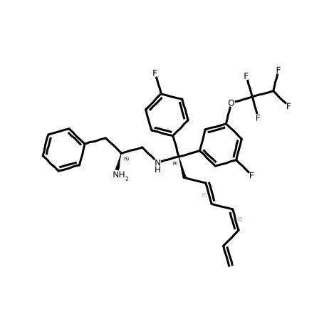 C=C/C=C\C=C\C[C@@](NC[C@@H](N)Cc1ccccc1)(c1ccc(F)cc1)c1cc(F)cc(OC(F)(F)C(F)F)c1